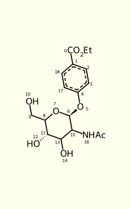 CCOC(=O)c1ccc(O[C@@H]2OC(CO)[C@@H](O)C(O)C2NC(C)=O)cc1